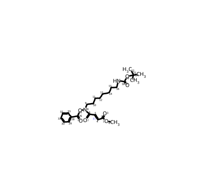 COC(=O)/C=C/C(=O)N(CCCCCCCCNC(=O)OC(C)(C)C)OC(=O)c1ccccc1